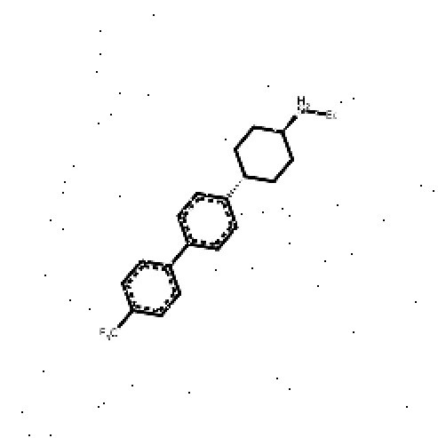 CC[SiH2][C@H]1CC[C@H](c2ccc(-c3ccc(C(F)(F)F)cc3)cc2)CC1